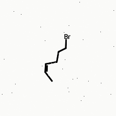 C/C=C\CCCBr